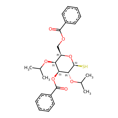 CC(C)O[C@@H]1[C@@H](OC(=O)c2ccccc2)[C@@H](OC(C)C)[C@@H](COC(=O)c2ccccc2)O[C@H]1S